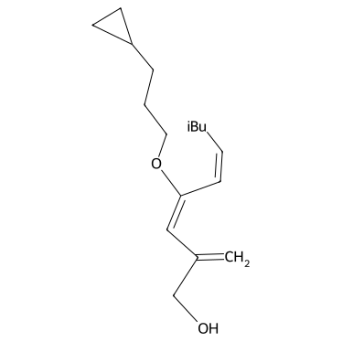 C=C(/C=C(\C=C/C(C)CC)OCCCC1CC1)CO